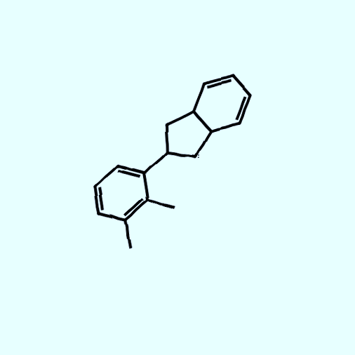 Cc1cccc(C2[C]C3C=CC=CC3C2)c1C